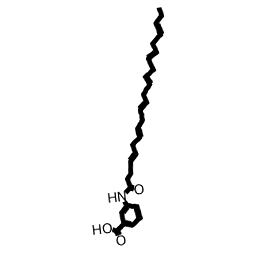 CCC=CCC=CCC=CCC=CCC=CCC=CCCC(=O)Nc1cccc(C(=O)O)c1